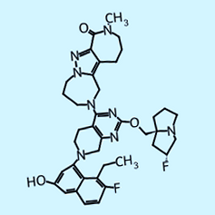 CCc1c(F)ccc2cc(O)cc(N3CCc4c(nc(OC[C@@]56CCCN5C[C@H](F)C6)nc4N4CCCn5nc6c(c5C4)CCCN(C)C6=O)C3)c12